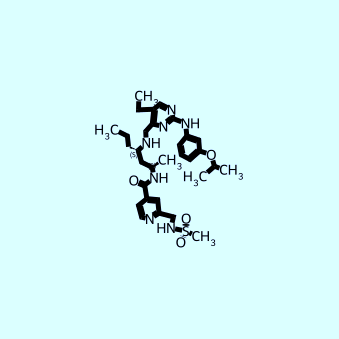 CCC[C@@H](C[C@@H](C)NC(=O)c1ccnc(CNS(C)(=O)=O)c1)NCc1nc(Nc2cccc(OC(C)C)c2)ncc1CC